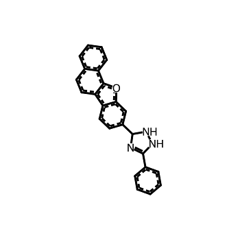 c1ccc(C2=NC(c3ccc4c(c3)oc3c5ccccc5ccc43)NN2)cc1